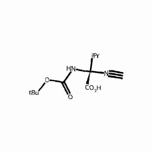 C#[N+][C@@](NC(=O)OC(C)(C)C)(C(=O)O)C(C)C